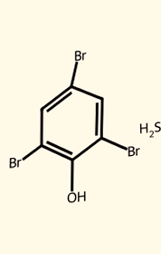 Oc1c(Br)cc(Br)cc1Br.S